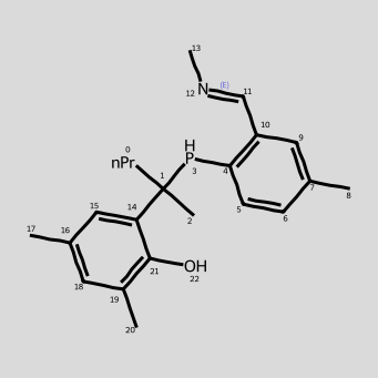 CCCC(C)(Pc1ccc(C)cc1/C=N/C)c1cc(C)cc(C)c1O